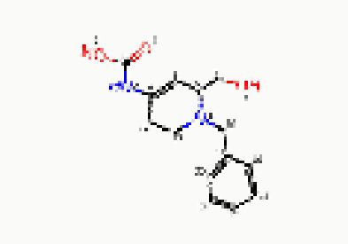 O=C(O)NC1=CC(CO)N(Cc2ccccc2)CC1